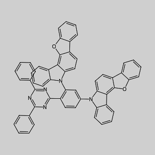 c1ccc(-c2nc(-c3ccccc3)nc(-c3ccc(-n4c5ccccc5c5c6oc7ccccc7c6ccc54)cc3-n3c4ccccc4c4c5oc6ccccc6c5ccc43)n2)cc1